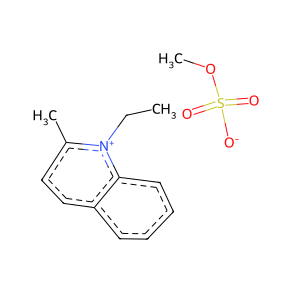 CC[n+]1c(C)ccc2ccccc21.COS(=O)(=O)[O-]